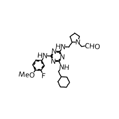 COc1ccc(Nc2nc(NCC3CCCCC3)nc(NCC3CCCN3CC=O)n2)cc1F